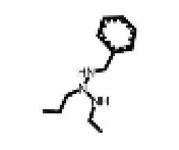 CCCN(NCC)NCc1ccccc1